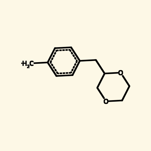 [CH2]c1ccc(CC2COCCO2)cc1